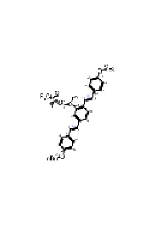 CCCCOc1ccc(/C=C/c2ccc(/C=C/c3ccc(OCCCC)cc3)c([S+](C)C)c2)cc1.O=S(=O)([O-])C(F)(F)F